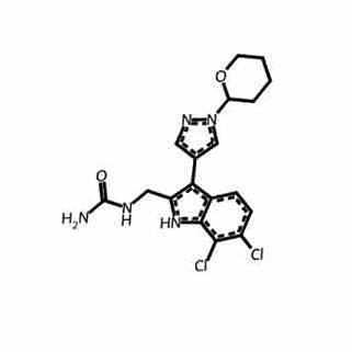 NC(=O)NCc1[nH]c2c(Cl)c(Cl)ccc2c1-c1cnn(C2CCCCO2)c1